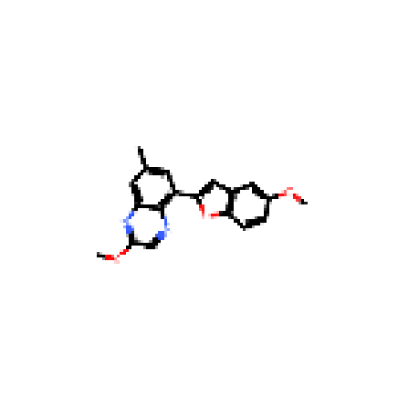 COc1ccc2oc(-c3cc(C)cc4nc(OC)cnc34)cc2c1